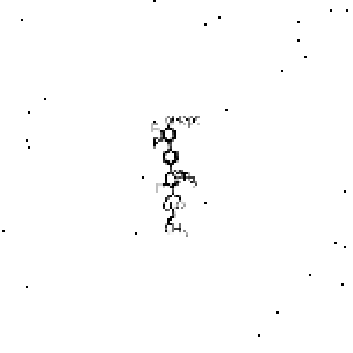 C=C(/C=C(F)\C(=C/C)C1COC(/C=C/C)OC1)c1ccc(-c2ccc(CCCCCCC)c(F)c2F)cc1